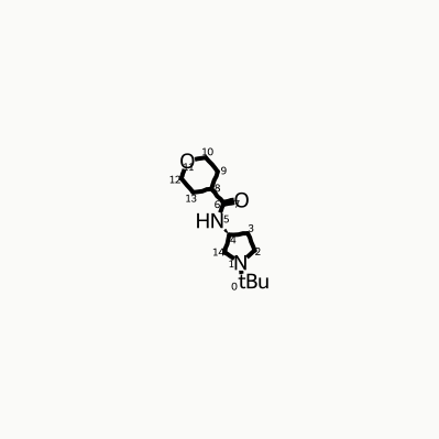 CC(C)(C)N1CC[C@@H](NC(=O)C2CCOCC2)C1